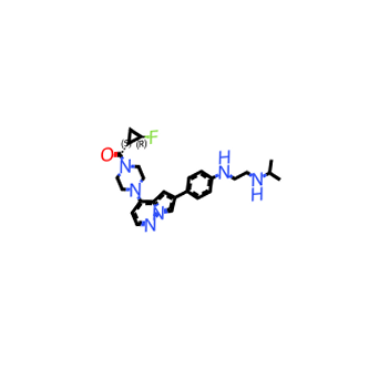 CC(C)NCCNc1ccc(-c2cc3c(N4CCN(C(=O)[C@@H]5C[C@H]5F)CC4)ccnn3c2)cc1